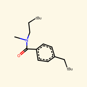 CN(CCC(C)(C)C)C(=O)c1ccc(CC(C)(C)C)cc1